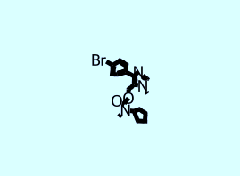 CN(C(=O)OCc1c(-c2ccc(Br)cc2)ncn1C)C1CCCC1